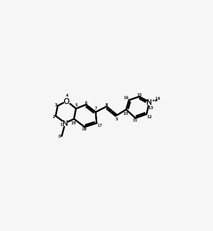 CN1CCOC2C=C(C=Cc3cc[n+](C)cc3)C=CC21